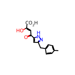 Cc1ccc(Cc2cc(C(=O)C=C(O)C(=O)O)[nH]n2)cc1